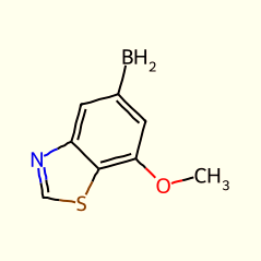 Bc1cc(OC)c2scnc2c1